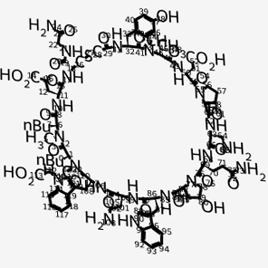 CCCC[C@H]1C(=O)N(C)[C@@H](CCCC)C(=O)N[C@@H](CCC(=O)O)C(=O)N[C@H](C(=O)NCC(N)=O)CSCC(=O)N[C@@H](Cc2ccc(O)cc2)C(=O)N(C)[C@@H](C)C(=O)N[C@@H](CC(=O)O)C(=O)N2CCC[C@H]2C(=O)N[C@@H](CN)C(=O)N[C@@H](CCC(N)=O)C(=O)N2C[C@H](O)C[C@H]2C(=O)N[C@@H](Cc2c[nH]c3ccccc23)C(=O)N[C@@H](CCN)C(=O)N[C@@H](Cc2cn(CC(=O)O)c3ccccc23)C(=O)N1C